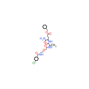 C[C@H](NC(=O)COCCNC(=O)c1ccc(Cl)cc1)C(=O)N[C@H](CCC(=O)OCc1ccccc1)C(N)=O